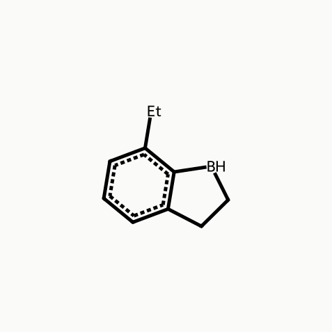 CCc1cccc2c1BCC2